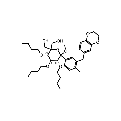 CCCCO[C@@H]1[C@@H](OCCCC)C(OC)(c2ccc(C)c(Cc3ccc4c(c3)OCCO4)c2)OC(CO)(CO)[C@H]1OCCCC